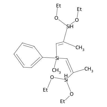 CCO[SiH](OCC)C(C)=C[Si](C)(C=C(C)[SiH](OCC)OCC)c1ccccc1